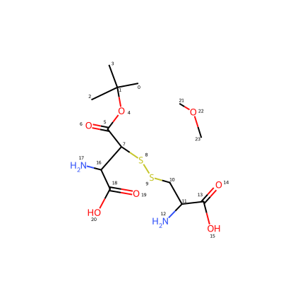 CC(C)(C)OC(=O)C(SSCC(N)C(=O)O)C(N)C(=O)O.COC